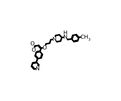 Cc1ccc(CNC2CCN(CCCOc3cc(=O)oc4cc(-c5cccnc5)ccc34)CC2)cc1